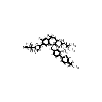 CC(C)(C)OC(=O)NC1CC(F)(F)c2cc(F)c(-c3nnc(C(C)(C)C#N)o3)cc2N(Cc2ccc(-c3ccc(C(C)(F)F)cn3)cc2)C1=O